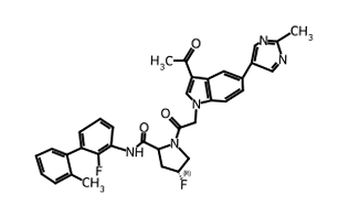 CC(=O)c1cn(CC(=O)N2C[C@H](F)CC2C(=O)Nc2cccc(-c3ccccc3C)c2F)c2ccc(-c3cnc(C)nc3)cc12